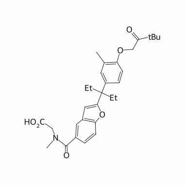 CCC(CC)(c1ccc(OCC(=O)C(C)(C)C)c(C)c1)c1cc2cc(C(=O)N(C)CC(=O)O)ccc2o1